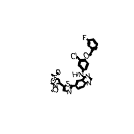 CON(C)C(CS(C)(=O)=O)c1cnc(-c2ccc3ncnc(Nc4ccc(OCc5cccc(F)c5)c(Cl)c4)c3c2)s1